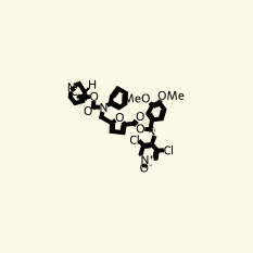 COc1ccc([C@H](Cc2c(Cl)c[n+]([O-])cc2Cl)OC(=O)c2ccc(CN(C(=O)O[C@H]3CN4CCC3CC4)c3ccccc3)o2)cc1OC